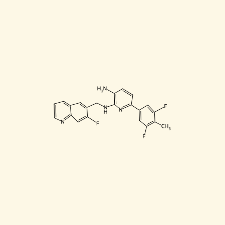 Cc1c(F)cc(-c2ccc(N)c(NCc3cc4cccnc4cc3F)n2)cc1F